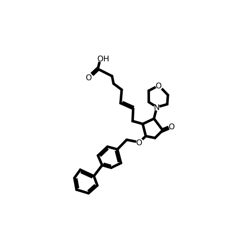 O=C(O)CCC/C=C/CC1C(OCc2ccc(-c3ccccc3)cc2)CC(=O)C1N1CCOCC1